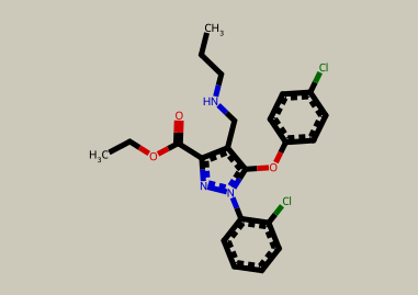 CCCNCc1c(C(=O)OCC)nn(-c2ccccc2Cl)c1Oc1ccc(Cl)cc1